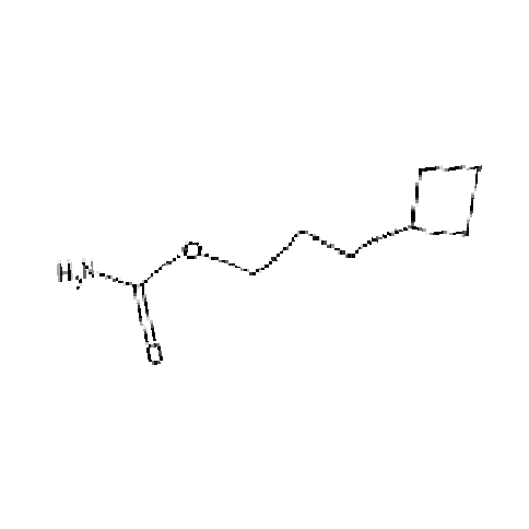 NC(=O)OCCCC1CCC1